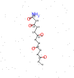 CCC(=O)CCC(=O)CCC(=O)CCC(=O)CC(N)=O